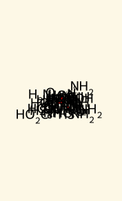 C[C@@H](O)[C@H](NC(=O)[C@@H]1CCCN1C(=O)[C@H](CCCCN)NC(=O)[C@H](CO)NC(=O)[C@H](Cc1ccc(O)cc1)NC(=O)[C@H](CC(N)=O)NC(=O)[C@@H](N)CS)C(=O)N[C@@H](CC(=O)O)C(=O)N[C@@H](CCCNC(=N)N)C(=O)N[C@@H](CCC(N)=O)C(=O)N[C@@H](Cc1ccc(O)cc1)C(=O)N[C@@H](Cc1c[nH]cn1)C(=O)N[C@@H](Cc1ccccc1)C(=O)N[C@@H](CS)C(=O)O